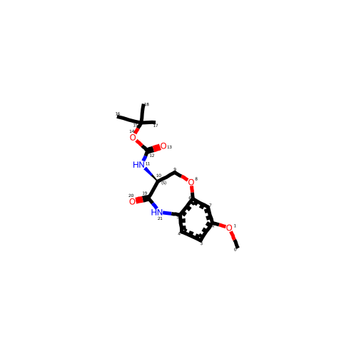 COc1ccc2c(c1)OC[C@H](NC(=O)OC(C)(C)C)C(=O)N2